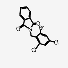 O=C1c2ccccc2C(=O)N1Cc1c(Cl)cc(Cl)cc1Br